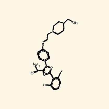 NC(=O)c1nc(-c2c(F)cccc2F)oc1-c1ccc(OCCN2CCC(CO)CC2)cc1